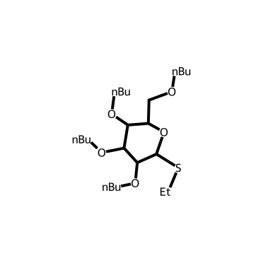 CCCCOCC1OC(SCC)C(OCCCC)C(OCCCC)C1OCCCC